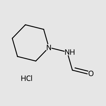 Cl.O=CNN1CCCCC1